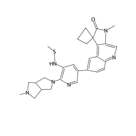 CSNc1cc(-c2ccc3ncc4c(c3c2)C2(CCC2)C(=O)N4C)cnc1N1CC2CN(C)CC2C1